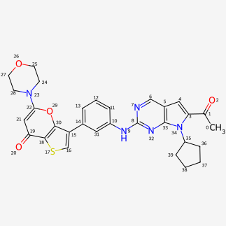 CC(=O)c1cc2cnc(Nc3cccc(-c4csc5c(=O)cc(N6CCOCC6)oc45)c3)nc2n1C1CCCC1